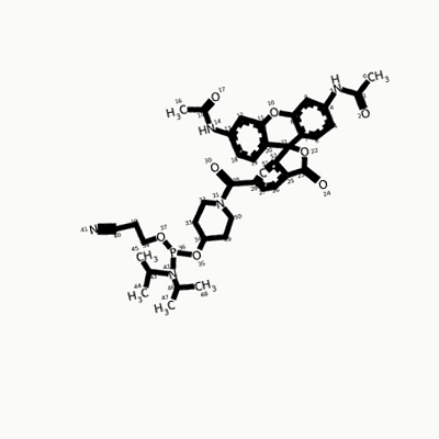 CC(=O)Nc1ccc2c(c1)Oc1cc(NC(C)=O)ccc1C21OC(=O)c2ccc(C(=O)N3CCC(OP(OCCC#N)N(C(C)C)C(C)C)CC3)cc21